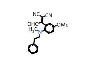 COc1ccc(N(C)CCc2ccccc2)c(C(C=O)=C(C#N)C#N)c1